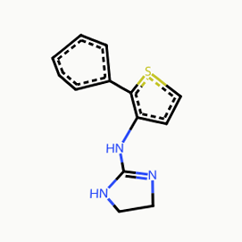 c1ccc(-c2sccc2NC2=NCCN2)cc1